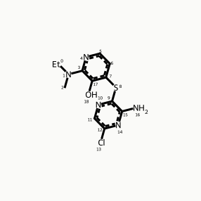 CCN(C)c1nccc(Sc2ncc(Cl)nc2N)c1O